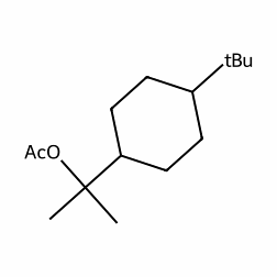 CC(=O)OC(C)(C)C1CCC(C(C)(C)C)CC1